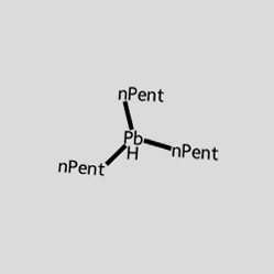 CCCC[CH2][PbH]([CH2]CCCC)[CH2]CCCC